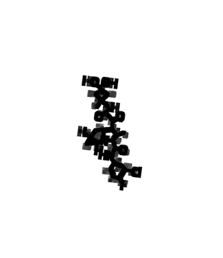 Cc1c(C(=O)C(=O)NC2(C)CS(O)(O)C2)c2n(c1C(=O)Nc1ccc(F)c(Cl)c1)[C@@H]1C[C@@H]1C2